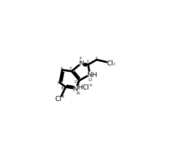 Cl.ClCc1nc2ccc(Cl)nc2[nH]1